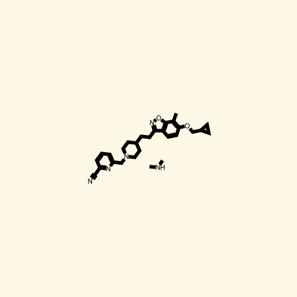 CNC.Cc1c(OCC2CC2)ccc2c(CCC3CCN(Cc4cccc(C#N)n4)CC3)noc12